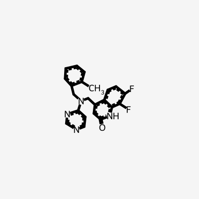 Cc1ccccc1CN(Cc1cc(=O)[nH]c2c(F)c(F)ccc12)c1ccncn1